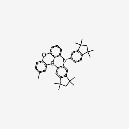 Cc1ccc2c(c1)B1c3cc4c(cc3N(c3ccc5c(c3)C(C)(C)CC5(C)C)c3cccc(c31)O2)C(C)(C)CC4(C)C